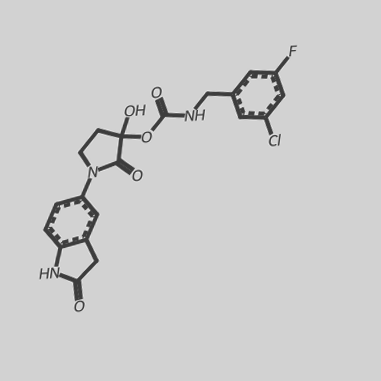 O=C1Cc2cc(N3CCC(O)(OC(=O)NCc4cc(F)cc(Cl)c4)C3=O)ccc2N1